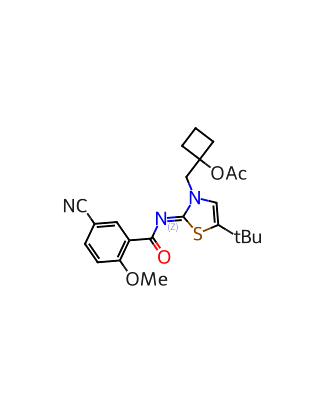 COc1ccc(C#N)cc1C(=O)/N=c1\sc(C(C)(C)C)cn1CC1(OC(C)=O)CCC1